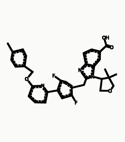 Cc1ccc(COc2cccc(-c3cc(F)c(Cc4nc5ccc(C(=O)O)cc5n4C4COCC4(C)C)cc3F)n2)cc1